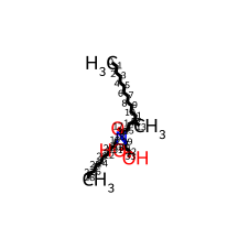 CCCCCCCCCCCCC(C)CCC(=O)N(CCCCCCCCCC)CC(O)CO